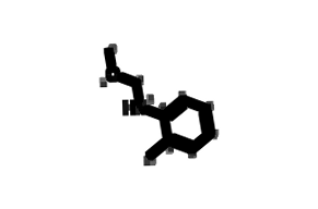 COCNc1ccccc1C